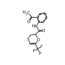 CC(=O)c1ccccc1NC(=O)C1CS[C]=C(C(F)(F)F)O1